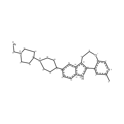 Cc1cc2c(cn1)OCCc1c-2[nH]c2ccc(C3CCN(C4CCN(CC(C)C)CC4)CC3)cc12